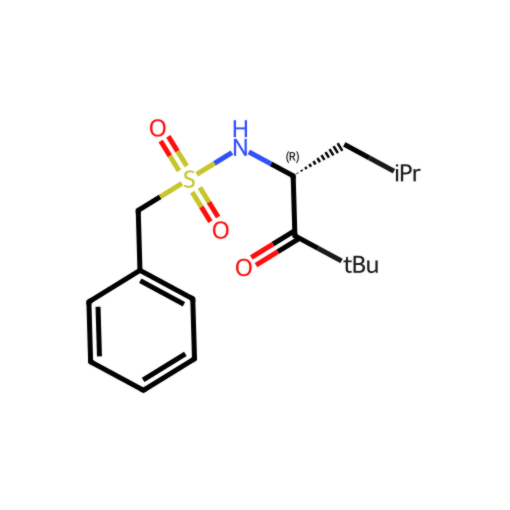 CC(C)C[C@@H](NS(=O)(=O)Cc1ccccc1)C(=O)C(C)(C)C